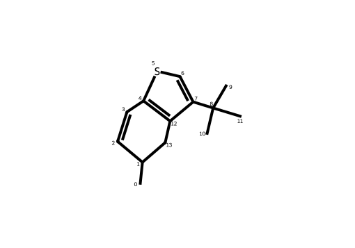 CC1C=Cc2scc(C(C)(C)C)c2C1